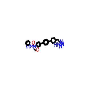 O=C(Nc1ccccc1)N1CCOc2cc(-c3ccc(C4CCC(Cc5nnn[nH]5)CC4)cc3)ccc21